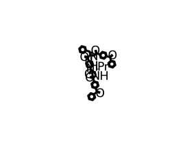 CC(C)C[C@H](NC(=O)c1ccc(C(=O)c2ccccc2)cc1)C(=O)N1CCN(C(=O)C(Cc2ccccc2)NC(=O)c2ccc(C(=O)c3ccccc3)cc2)CC1